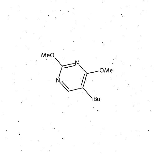 CCC(C)c1cnc(OC)nc1OC